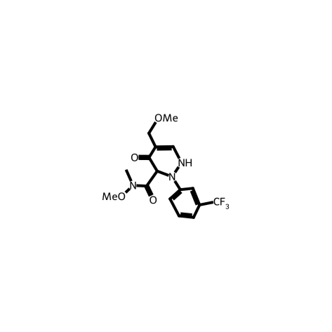 COCC1=CNN(c2cccc(C(F)(F)F)c2)C(C(=O)N(C)OC)C1=O